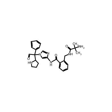 CC(C)(N)C(=O)NCc1ccccc1C(=O)Nc1cn(C(C=O)(c2ccccc2)C2CCCN2)cn1